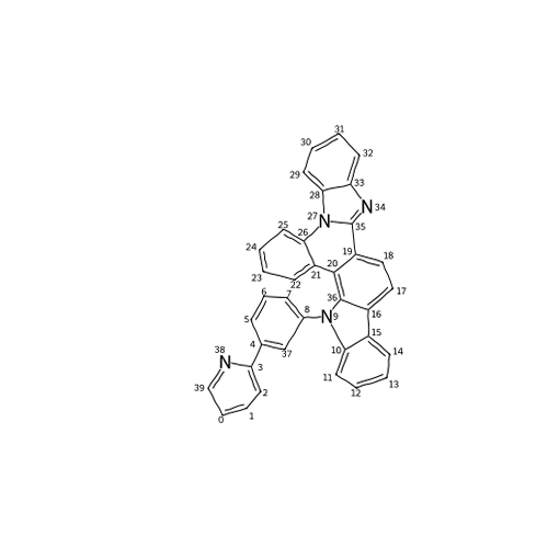 c1ccc(-c2cccc(-n3c4ccccc4c4ccc5c(c6ccccc6n6c7ccccc7nc56)c43)c2)nc1